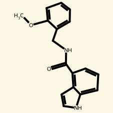 COc1ccccc1CNC(=O)c1cccc2[nH]ccc12